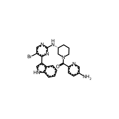 Nc1ccc(C(=O)N2CCC[C@@H](Nc3ncc(Br)c(-c4c[nH]c5ccccc45)n3)C2)nc1